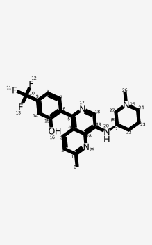 Cc1ccc2c(-c3ccc(C(F)(F)F)cc3O)ncc(N[C@@H]3CCCN(C)C3)c2n1